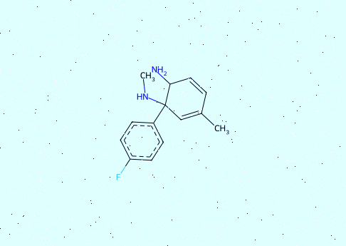 CNC1(c2ccc(F)cc2)C=C(C)C=CC1N